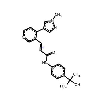 Cn1cc(-c2ccncc2/C=C/C(=O)Nc2ccc(C(C)(C)O)cc2)cn1